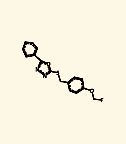 FCOc1ccc(CSc2nnc(-c3ccccc3)o2)cc1